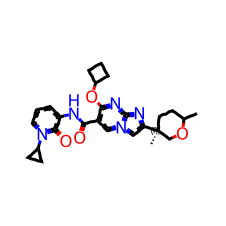 CC1CC[C@](C)(c2cn3cc(C(=O)Nc4cccn(C5CC5)c4=O)c(OC4CCC4)nc3n2)CO1